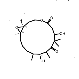 CC1CCC[C@@]2(C)O[C@H]2CCOC(=O)CC(O)C(C)(C)C(=O)C(C)[C@H]1O